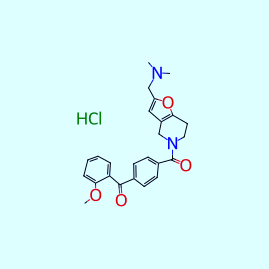 COc1ccccc1C(=O)c1ccc(C(=O)N2CCc3oc(CN(C)C)cc3C2)cc1.Cl